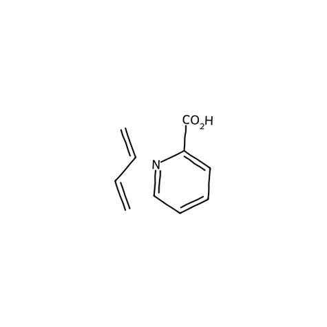 C=CC=C.O=C(O)c1ccccn1